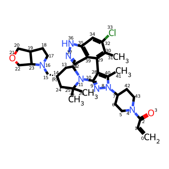 C=CC(=O)N1CCC(n2nc(N3CC[C@@H](CN4CCC5COCC54)CC3(C)C)c(-c3c(C)c(Cl)cc4[nH]ncc34)c2C)CC1